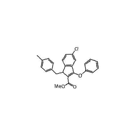 COC(=O)C1=C(Oc2ccccc2)c2cc(Cl)ccc2C1Cc1ccc(C)cc1